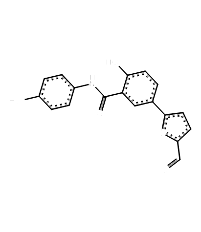 Cc1ccc(NC(=O)c2cc(-c3ccc(C=O)o3)ccc2O)cc1